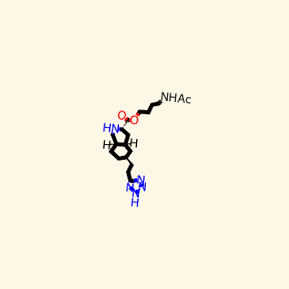 CC(=O)NCCCCOC(=O)[C@@H]1C[C@H]2C[C@@H](CCc3nn[nH]n3)CC[C@H]2CN1